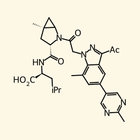 CC(=O)c1nn(CC(=O)N2C3C[C@]3(C)C[C@H]2C(=O)N[C@@H](CC(C)C)C(=O)O)c2c(C)cc(-c3cnc(C)nc3)cc12